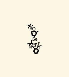 Cc1cc([Se]Cc2sc(-c3ccccc3C(F)(F)F)nc2C)ccc1O[Si](C)(C)C(C)(C)C